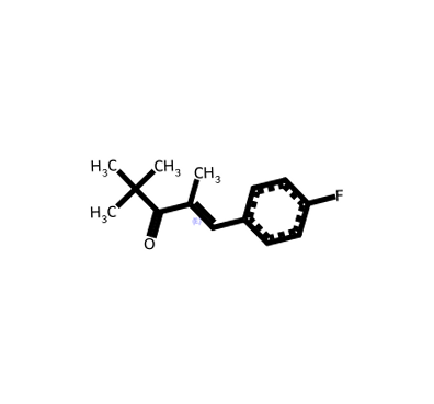 C/C(=C\c1ccc(F)cc1)C(=O)C(C)(C)C